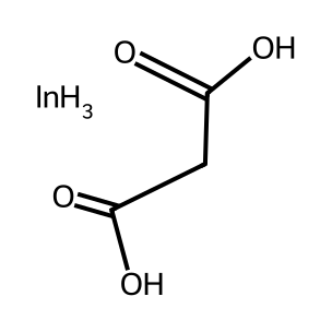 O=C(O)CC(=O)O.[InH3]